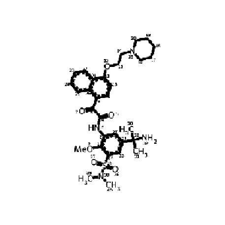 COc1c(NC(=O)C(=O)c2ccc(OCCN3CCCCC3)c3ccccc23)cc(C(C)(C)N)cc1S(=O)(=O)N(C)C